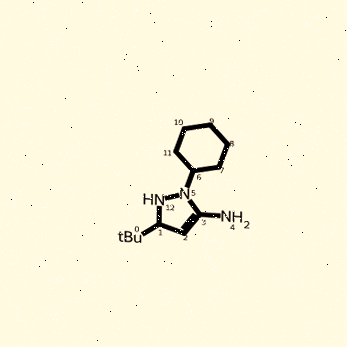 CC(C)(C)C1C=C(N)N(C2CCCCC2)N1